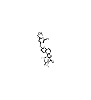 COc1nc(Cl)cc(Oc2ccc3c(ccc4oc5c(c43)NCC(C)NC5=O)n2)n1